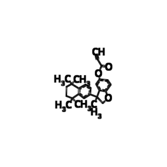 C#CC(=O)Oc1ccc2c(c1)C(C)(c1ccc3c(c1)C(C)(C)CCC3(C)C)CO2